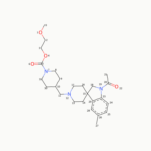 COCCOC(=O)N1CCC(CN2CCC3(CC2)CN(C(C)=O)c2ccc(C)cc23)CC1